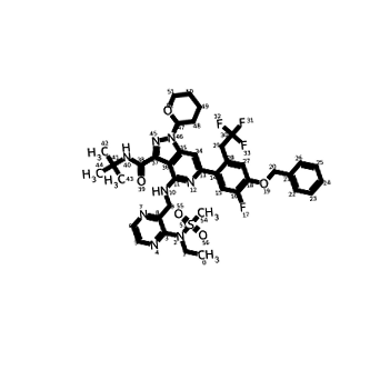 CCN(c1nccnc1CNc1nc(-c2cc(F)c(OCc3ccccc3)cc2CC(F)(F)F)cc2c1c(C(=O)NC(C)(C)C)nn2C1CCCCO1)S(C)(=O)=O